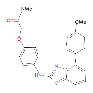 CNC(=O)COc1ccc(Nc2nc3cccc(-c4ccc(OC)cc4)n3n2)cc1